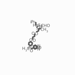 C/C(=C(\CCOC(=O)CCC(=O)O[C@H]1CC[C@H](N(C)C(=O)c2ccc3nonc3c2)CC1)SSCCC(C)C)N(C)C=O